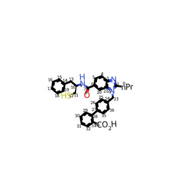 CCCc1nc2ccc(C(=O)N[C@@H](CS)Cc3ccccc3)cc2n1Cc1ccc(-c2ccccc2C(=O)O)cc1